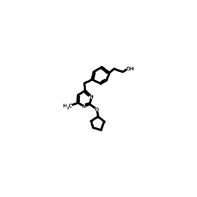 Cc1cc(Cc2ccc(CCO)cc2)nc(OC2CCCC2)n1